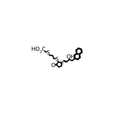 O=C(O)CSCCCSC1C(=O)CC[C@@H]1C=CC(O)Cc1ccc2ccccc2c1